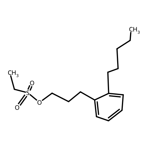 CCCCCc1ccccc1CCCOS(=O)(=O)CC